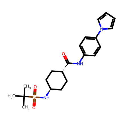 CC(C)(C)S(=O)(=O)N[C@H]1CC[C@H](C(=O)Nc2ccc(-n3cccc3)cc2)CC1